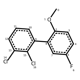 COc1ccc(F)cc1-c1cccc(Cl)c1Cl